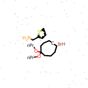 Br.CCCOC1(OCCC)CCCCCCCC1.PCc1cccs1